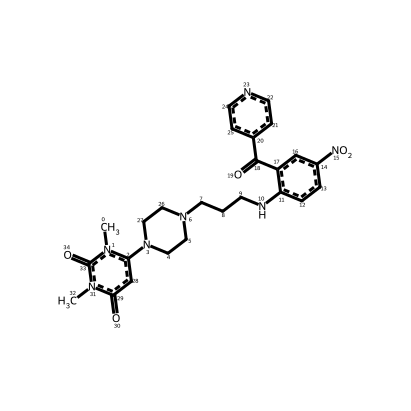 Cn1c(N2CCN(CCCNc3ccc([N+](=O)[O-])cc3C(=O)c3ccncc3)CC2)cc(=O)n(C)c1=O